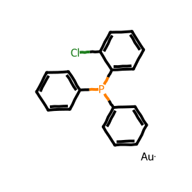 Clc1ccccc1P(c1ccccc1)c1ccccc1.[Au]